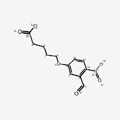 O=Cc1cc(OCCCCC(=O)Cl)ccc1[N+](=O)[O-]